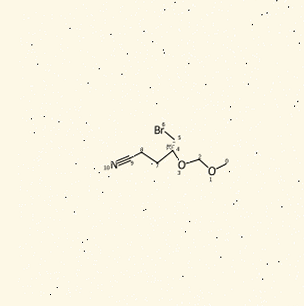 COCO[C@@H](CBr)CCC#N